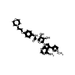 Cn1ccc(-c2cn([C@@H]3O[C@H](C(=O)Nc4ccc(OCCN5CCOCC5)cc4)[C@@H](O)[C@H]3O)c3ncnc(N)c23)n1